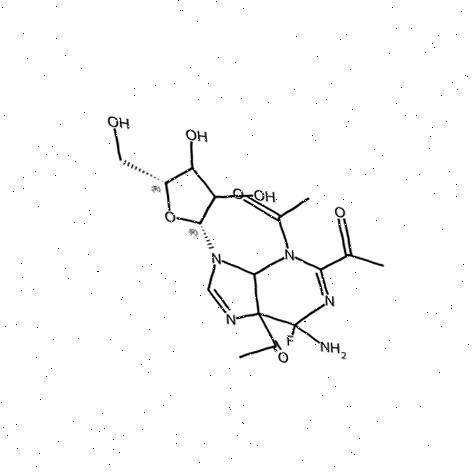 CC(=O)C1=NC(N)(F)C2(C(C)=O)N=CN([C@@H]3O[C@H](CO)C(O)C3O)C2N1C(C)=O